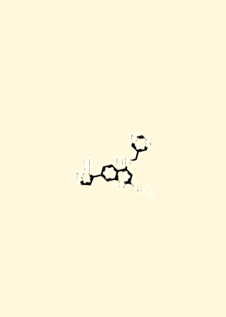 Nc1cc(NCc2cncnc2)c2ccc(-c3ccn[nH]3)cc2n1